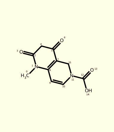 CN1C(=O)CC(=O)C2=C1C=CN(C(=O)O)C2